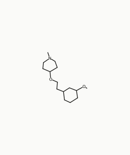 COC1CCCC(CCOC2CCN(C)CC2)C1